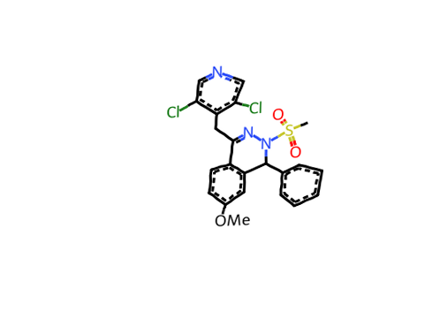 COc1ccc2c(c1)C(c1ccccc1)N(S(C)(=O)=O)N=C2Cc1c(Cl)cncc1Cl